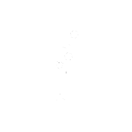 C[C@]12Cc3cnn(-c4cccc(C(=O)NCc5ccccc5)c4)c3C=C1CCC1C2[C@@H](O)C[C@@]2(C)C1CC[C@]2(O)C(=O)O